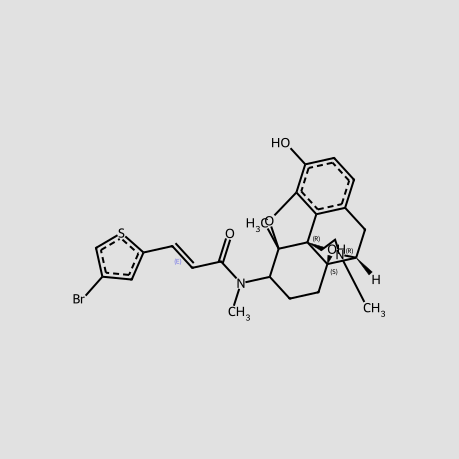 CN(C(=O)/C=C/c1cc(Br)cs1)C1CC[C@@]2(O)[C@H]3Cc4ccc(O)c5c4[C@@]2(CCN3C)C1(C)O5